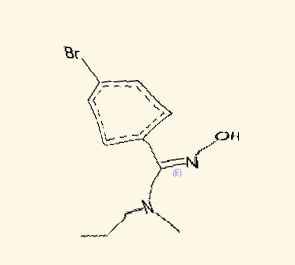 CCCN(C)/C(=N/O)c1ccc(Br)cc1